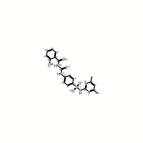 Cc1cc(C)nc(NS(=O)(=O)c2ccc(NC(=S)NC(=O)c3ccccc3O)cc2)n1